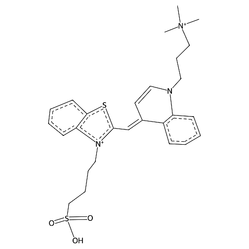 C[N+](C)(C)CCCN1C=C/C(=C\c2sc3ccccc3[n+]2CCCCS(=O)(=O)O)c2ccccc21